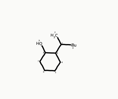 CCC(C)C(C)C1CCCCC1O